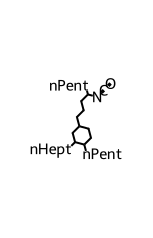 CCCCCCCC1CC(CCCC(CCCCC)N=C=O)CCC1CCCCC